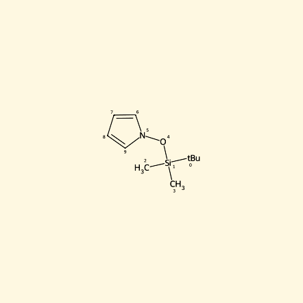 CC(C)(C)[Si](C)(C)On1cccc1